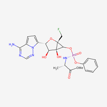 COC(=O)[C@H](C)N[P@](=O)(Oc1ccccc1)OC1[C@@]2(CF)O[C@@H](c3ccc4c(N)ncnn34)[C@H](O)[C@@]12O